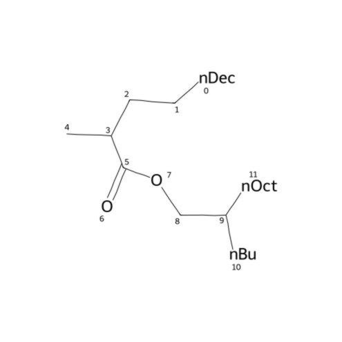 CCCCCCCCCCCCC(C)C(=O)OCC(CCCC)CCCCCCCC